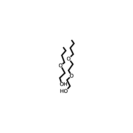 CCCCOCCO.CCCCOCCOCCO